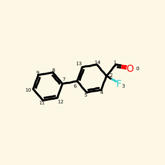 O=CC1(F)C=CC(c2ccccc2)=CC1